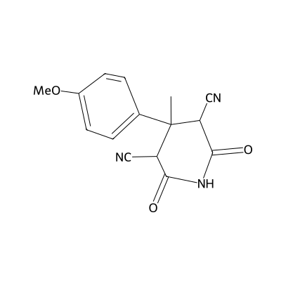 COc1ccc(C2(C)C(C#N)C(=O)NC(=O)C2C#N)cc1